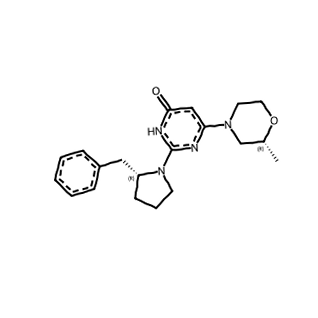 C[C@@H]1CN(c2cc(=O)[nH]c(N3CCC[C@@H]3Cc3ccccc3)n2)CCO1